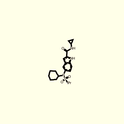 CC(C)S(=O)(=O)N(c1ccc2[nH]c(C(=O)NC3CC3)cc2c1)C1CCCCC1